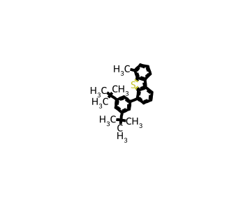 Cc1cccc2c1sc1c(-c3cc(C(C)(C)C)cc(C(C)(C)C)c3)cccc12